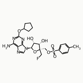 Cc1ccc(S(=O)(=O)OC[C@]2(CF)O[C@@H](n3cnc4c(N)nc(OC5CCCC5)nc43)[C@H](O)[C@@H]2O)cc1